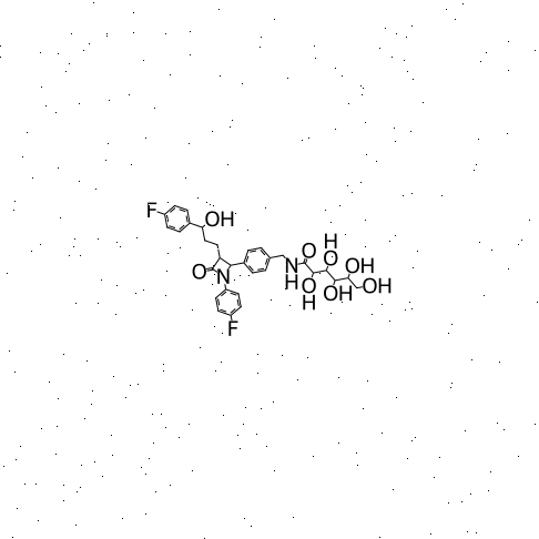 O=C(NCc1ccc(C2C(CCC(O)c3ccc(F)cc3)C(=O)N2c2ccc(F)cc2)cc1)C(O)C(O)C(O)C(O)CO